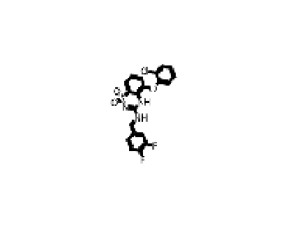 O=S1(=O)N=C(NCc2ccc(F)c(F)c2)Nc2c(Oc3ccccc3Cl)cccc21